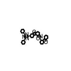 c1ccc(-c2nc(-c3ccccc3)nc(-c3ccc4c(c3)oc3ccc5nc(-c6cccc7oc8ccccc8c67)oc5c34)n2)cc1